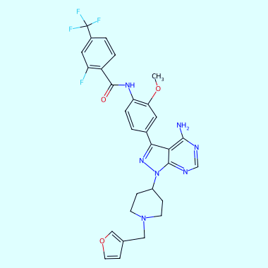 COc1cc(-c2nn(C3CCN(Cc4ccoc4)CC3)c3ncnc(N)c23)ccc1NC(=O)c1ccc(C(F)(F)F)cc1F